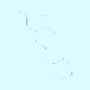 CCCC(CNCc1ccccc1)C(=O)O